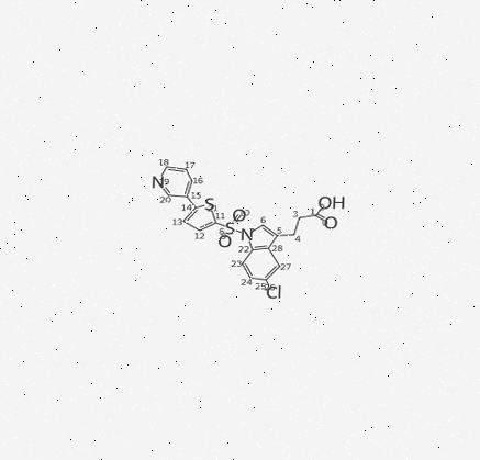 O=C(O)CCc1cn(S(=O)(=O)c2ccc(-c3cccnc3)s2)c2ccc(Cl)cc12